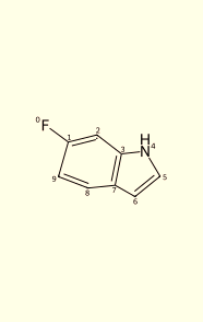 Fc1[c]c2[nH]ccc2cc1